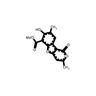 COC(=O)c1c(O)c(C)cc2c1oc1cc(C)oc(=O)c12